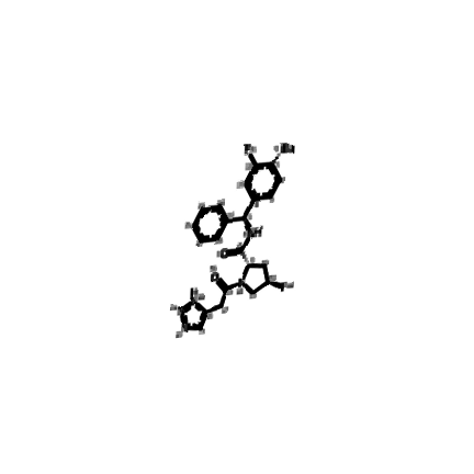 CC[C@@H](C)c1ccc([C@@H](NC(=O)[C@@H]2C[C@@H](F)CN2C(=O)Cc2cnn[nH]2)c2ccccc2)cc1F